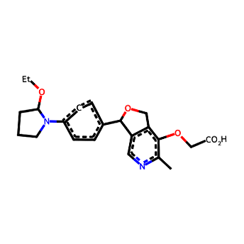 CCOC1CCCN1c1ccc(C2OCc3c2cnc(C)c3OCC(=O)O)cc1